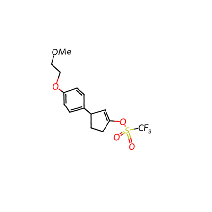 COCCOc1ccc(C2C=C(OS(=O)(=O)C(F)(F)F)CC2)cc1